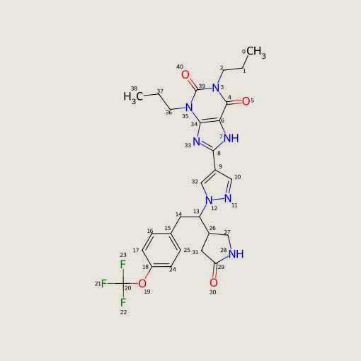 CCCn1c(=O)c2[nH]c(-c3cnn(C(Cc4ccc(OC(F)(F)F)cc4)C4CNC(=O)C4)c3)nc2n(CCC)c1=O